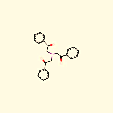 O=C(CP(CC(=O)c1ccccc1)CC(=O)c1ccccc1)c1ccccc1